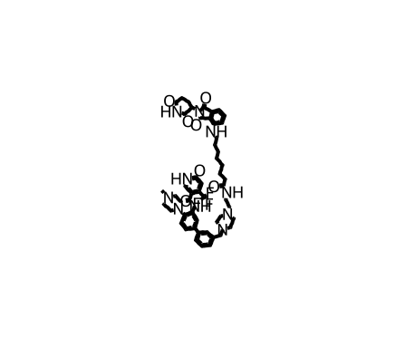 CN1CCN(c2ccc(-c3cccc(CN4CCN(CCNC(=O)CCCCCCCNc5cccc6c5C(=O)N(C5CCC(=O)NC5=O)C6=O)CC4)c3)cc2NC(=O)c2c[nH]c(=O)cc2C(F)(F)F)CC1